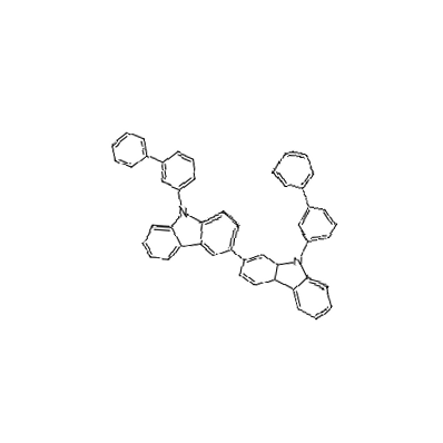 C1=CC2c3ccccc3N(c3cccc(-c4ccccc4)c3)C2C=C1c1ccc2c(c1)c1ccccc1n2-c1cccc(-c2ccccc2)c1